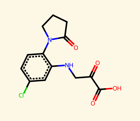 O=C(O)C(=O)CNc1cc(Cl)ccc1N1CCCC1=O